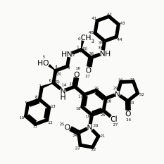 C[C@H](NC[C@H](O)[C@H](Cc1ccccc1)NC(=O)c1cc(N2CCCC2=O)c(Cl)c(N2CCCC2=O)c1)C(=O)NC1CCCCC1